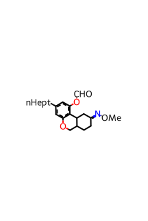 CCCCCCCc1cc(OC=O)c2c(c1)OCC1CCC(=NOC)CC21